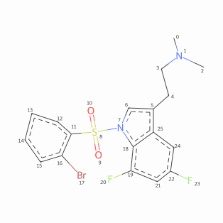 CN(C)CCc1cn(S(=O)(=O)c2ccccc2Br)c2c(F)cc(F)cc12